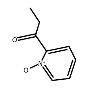 CCC(=O)c1cccc[n+]1[O-]